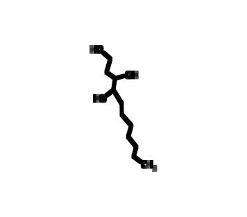 CCCCCCCC(O)C(O)CCO